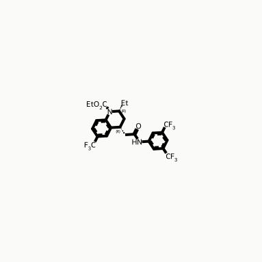 CCOC(=O)N1c2ccc(C(F)(F)F)cc2[C@@H](CC(=O)Nc2cc(C(F)(F)F)cc(C(F)(F)F)c2)C[C@H]1CC